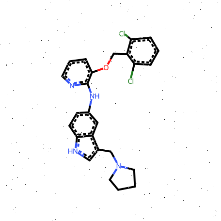 Clc1cccc(Cl)c1COc1cccnc1Nc1ccc2[nH]cc(CN3CCCC3)c2c1